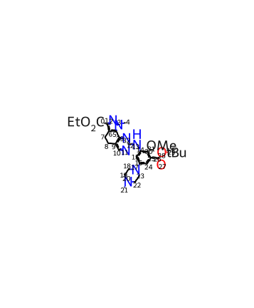 CCOC(=O)c1nn(C)c2c1CCc1cnc(Nc3cc(N4CCN(C)CC4)cc(C(=O)OC(C)(C)C)c3OC)nc1-2